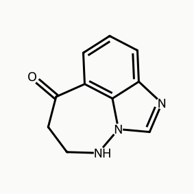 O=C1CCNn2cnc3cccc1c32